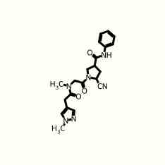 CN(CC(=O)N1CC(C(=O)Nc2ccccc2)CC1C#N)C(=O)Cc1cnn(C)c1